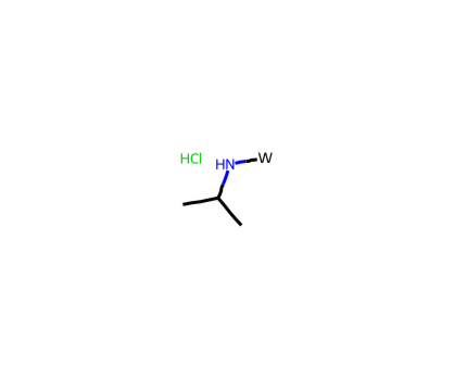 CC(C)[NH][W].Cl